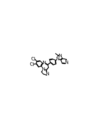 Cc1nc2cnccc2n1-c1ccc(C2=Nc3cc(Cl)c(Cl)cc3N3CCCN=C3C2)cc1